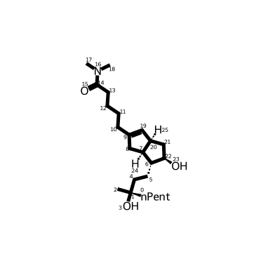 CCCCC[C@](C)(O)CC[C@@H]1[C@H]2CC(CCCCC(=O)N(C)C)=C[C@H]2C[C@H]1O